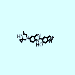 CC1CN(c2ccc3nc(-c4cc5cn(C)nc5cc4O)ncc3c2)CC2(CC2)N1